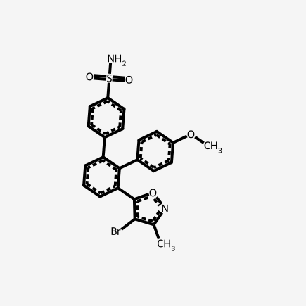 COc1ccc(-c2c(-c3ccc(S(N)(=O)=O)cc3)cccc2-c2onc(C)c2Br)cc1